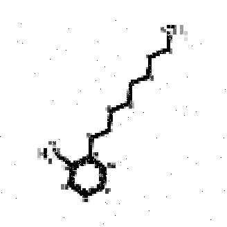 CCCCCCCCCc1ccccc1N